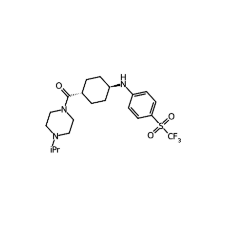 CC(C)N1CCN(C(=O)[C@H]2CC[C@H](Nc3ccc(S(=O)(=O)C(F)(F)F)cc3)CC2)CC1